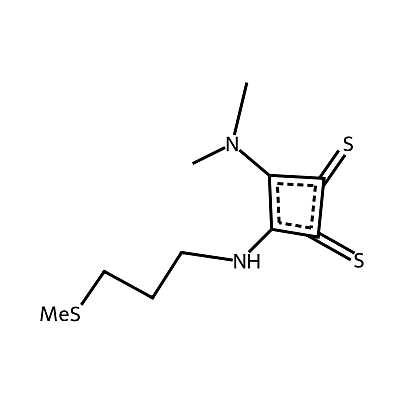 CSCCCNc1c(N(C)C)c(=S)c1=S